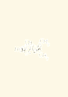 CCO[Si](CCCC(C)(C)COO)(OCC)OCC